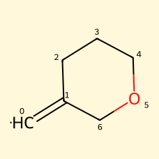 [CH]=C1CCCOC1